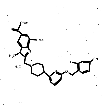 COC(=O)c1cc(OC)c2nc([C@@H](C)N3CCC(c4cccc(OCc5ccc(C#N)cc5F)n4)CC3)n(C)c2c1